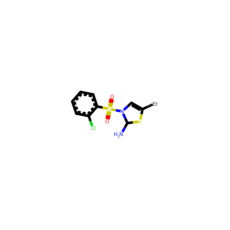 CCC1=CN(S(=O)(=O)c2ccccc2Cl)C(N)S1